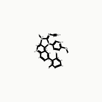 COc1ccc(-n2/c(=N\C#N)n(C)c3cnc4ccc(-c5c(C)cccc5C)cc4c32)cn1